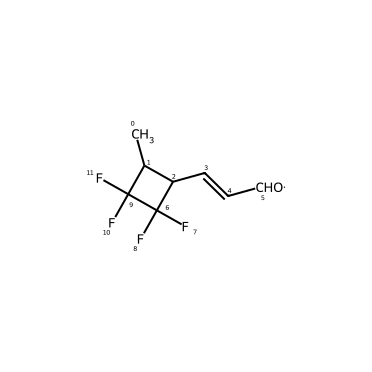 CC1C(C=C[C]=O)C(F)(F)C1(F)F